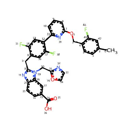 Cc1ccc(COc2cccc(-c3cc(F)c(Cc4nc5ccc(C(=O)O)cc5n4Cc4ncco4)cc3F)n2)c(F)c1